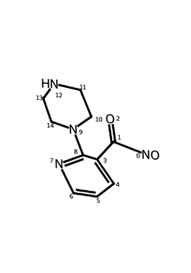 O=NC(=O)c1cccnc1N1CCNCC1